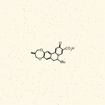 C=C1COc2cc3c(cc2OC1)-c1cc(=O)c(C(=O)O)cn1C(C(C)(C)C)C3